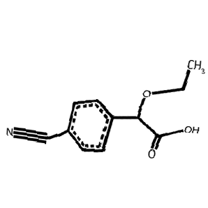 CCOC(C(=O)O)c1ccc(C#N)cc1